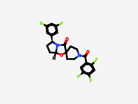 O=C(c1cc(F)c(F)cc1F)N1CCC2(CC1)O[C@@H]1CC[C@@H](c3cc(F)cc(F)c3)N1C2=O